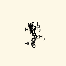 Cc1cc2cnc(Nc3cnn(C)c3C)nc2cc1[C@@H]1CCN(C2COC[C@H]2O)CC1F